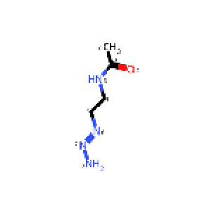 CC(=O)NCCN=NN